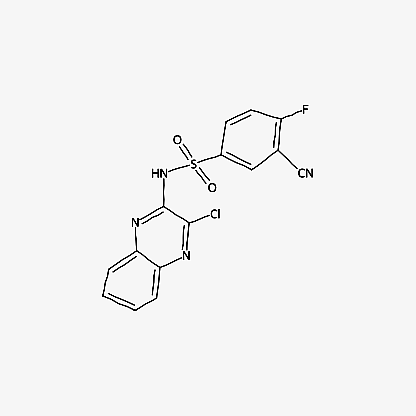 N#Cc1cc(S(=O)(=O)Nc2nc3ccccc3nc2Cl)ccc1F